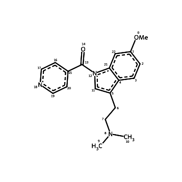 COc1ccc2c(CCN(C)C)cn(C(=O)c3ccncc3)c2c1